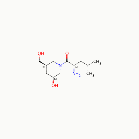 CC(C)C[C@H](N)C(=O)N1C[C@@H](O)C[C@@H](CO)C1